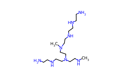 CNCCN(CCNCCN)CCN(C)CCNCCNCCN